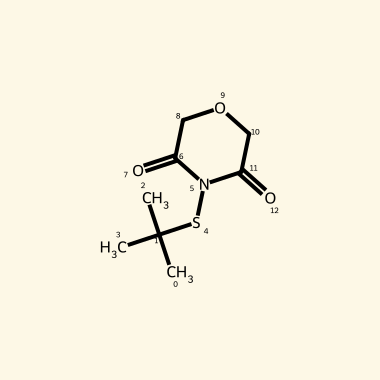 CC(C)(C)SN1C(=O)COCC1=O